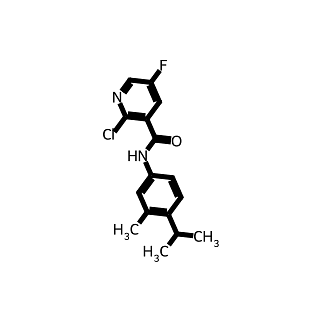 Cc1cc(NC(=O)c2cc(F)cnc2Cl)ccc1C(C)C